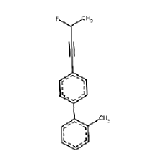 Cc1ccccc1-c1ccc(C#CC(C)F)cc1